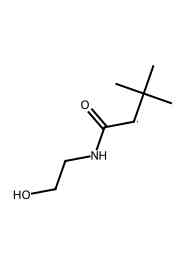 CC(C)(C)[CH]C(=O)NCCO